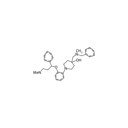 CNCCC(Oc1ccccc1N1CCC(O)(CN(C)Cc2ccccc2)CC1)c1ccccc1